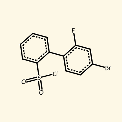 O=S(=O)(Cl)c1ccccc1-c1ccc(Br)cc1F